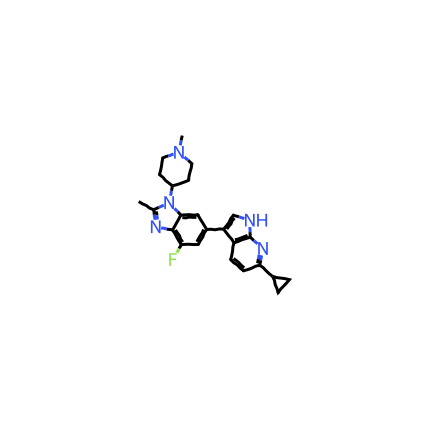 Cc1nc2c(F)cc(-c3c[nH]c4nc(C5CC5)ccc34)cc2n1C1CCN(C)CC1